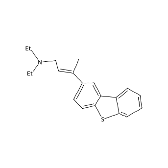 CCN(CC)CC=C(C)c1ccc2sc3ccccc3c2c1